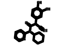 C#CC(C(=O)N(c1ccccn1)C1CCCCC1)c1ccc(O)c(O)c1